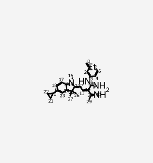 C=C/C=C(\C=C/CC)NC(N)/C(=C\C=C1\N(C)C2C=CC(C3CC3)=CC2C1(C)C)C(C)=N